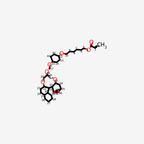 C=CC(=O)OCCCCCCOC1CCC(OCOC2COC3CCC4CCCCC4C3C3C(CCC4CCCCC43)OC2)CC1